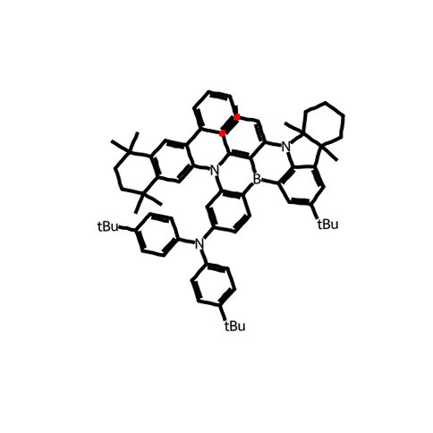 Cc1cc2c3c(c1)N1c4c(cc(C(C)(C)C)cc4C4(C)CCCCC14C)B3c1ccc(N(c3ccc(C(C)(C)C)cc3)c3ccc(C(C)(C)C)cc3)cc1N2c1cc2c(cc1-c1ccccc1)C(C)(C)CCC2(C)C